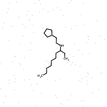 CCCCCCCC(CC)NCCN1CCCC1